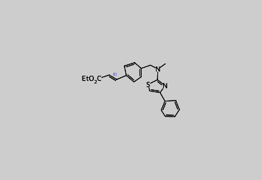 CCOC(=O)/C=C/c1ccc(CN(C)c2nc(-c3ccccc3)cs2)cc1